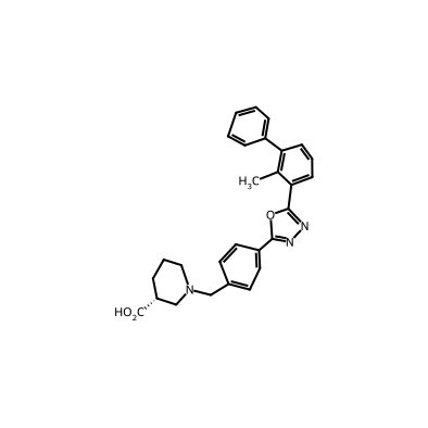 Cc1c(-c2ccccc2)cccc1-c1nnc(-c2ccc(CN3CCC[C@@H](C(=O)O)C3)cc2)o1